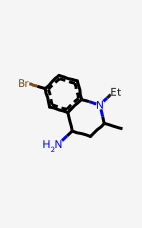 CCN1c2ccc(Br)cc2C(N)CC1C